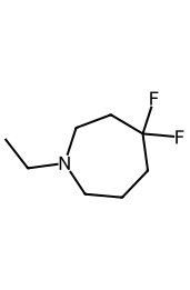 CCN1CCCC(F)(F)CC1